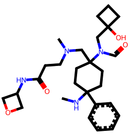 CNC1(c2ccccc2)CCC(CN(C)CCC(=O)NC2COC2)(N(C=O)CC2(O)CCC2)CC1